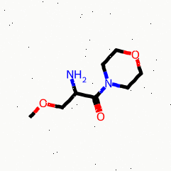 COCC(N)C(=O)N1CCOCC1